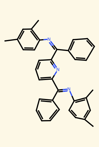 Cc1ccc(N=C(c2ccccc2)c2cccc(C(=Nc3ccc(C)cc3C)c3ccccc3)n2)c(C)c1